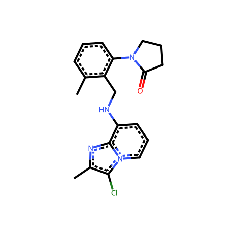 Cc1cccc(N2CCCC2=O)c1CNc1cccn2c(Cl)c(C)nc12